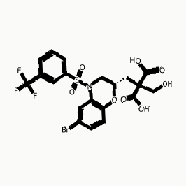 O=C(O)C(CO)(C[C@H]1CN(S(=O)(=O)c2cccc(C(F)(F)F)c2)c2cc(Br)ccc2O1)C(=O)O